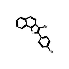 Brc1ccc(-c2oc3c(ccc4ccccc43)c2Br)cc1